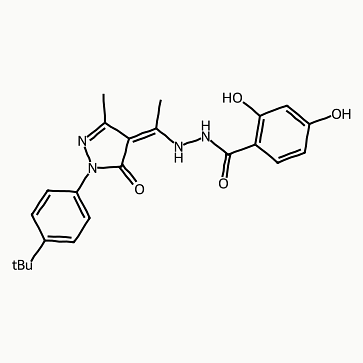 CC1=NN(c2ccc(C(C)(C)C)cc2)C(=O)/C1=C(/C)NNC(=O)c1ccc(O)cc1O